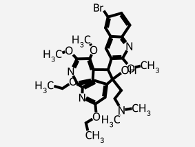 CCOc1cc(C(O)(CCN(C)C)C(c2cc3cc(Br)ccc3nc2OC)c2ccnc(OC)c2OC)cc(OCC)n1